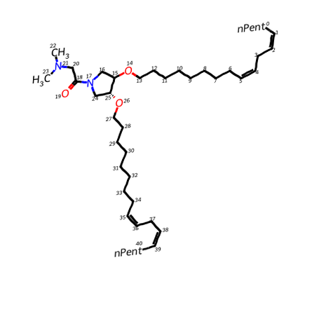 CCCCC/C=C\C/C=C\CCCCCCCCOC1CN(C(=O)CN(C)C)C[C@H]1OCCCCCCCC/C=C\C/C=C\CCCCC